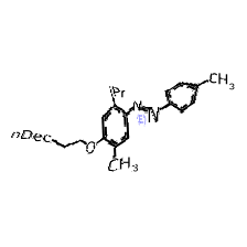 CCCCCCCCCCCCOc1cc(C(C)C)c(/N=N/c2ccc(C)cc2)cc1C